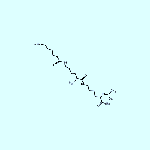 CCCCCCCCCCCCCCCC(=O)NCCCCC(N)C(=O)NCCCCC(N[SH](C)C)C(=O)C(C)(C)C